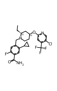 CC[C@H]1C[C@@H](Oc2cc(C(F)(F)F)c(Cl)cn2)CCN1Cc1cc(F)c(C(N)=O)cc1C1CC1